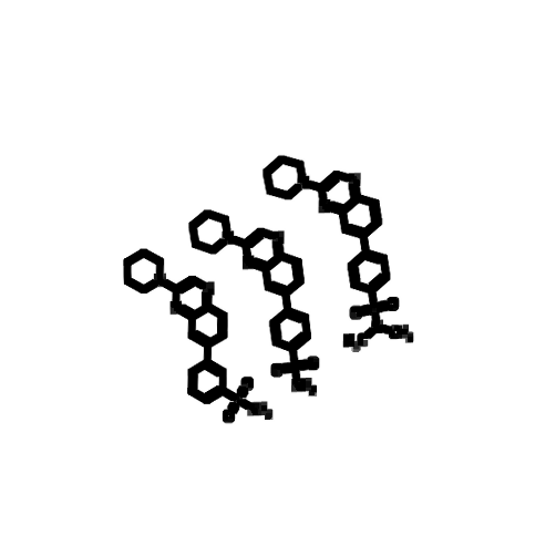 CN(C)S(=O)(=O)c1ccc(-c2ccc3ncc(N4CCCCC4)nc3c2)cc1.NS(=O)(=O)c1ccc(-c2ccc3ncc(N4CCCCC4)nc3c2)cc1.NS(=O)(=O)c1cccc(-c2ccc3ncc(N4CCCCC4)nc3c2)c1